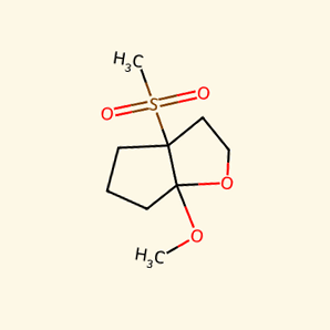 COC12CCCC1(S(C)(=O)=O)CCO2